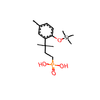 Cc1ccc(O[Si](C)(C)C)c(C(C)(C)CCP(=O)(O)O)c1